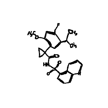 COc1cc(F)c(C(C)C)cc1C1(C(=O)NS(=O)(=O)c2cccc3ncccc23)CC1